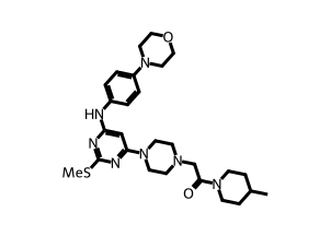 CSc1nc(Nc2ccc(N3CCOCC3)cc2)cc(N2CCN(CC(=O)N3CCC(C)CC3)CC2)n1